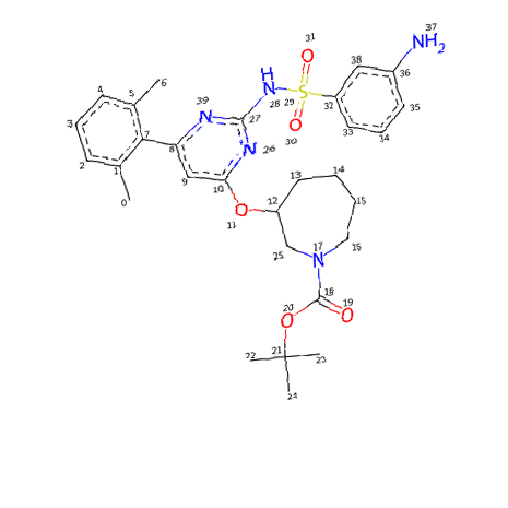 Cc1cccc(C)c1-c1cc(OC2CCCCN(C(=O)OC(C)(C)C)C2)nc(NS(=O)(=O)c2cccc(N)c2)n1